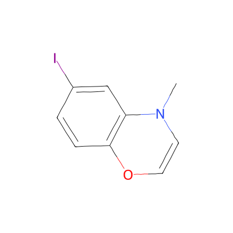 CN1C=COc2ccc(I)cc21